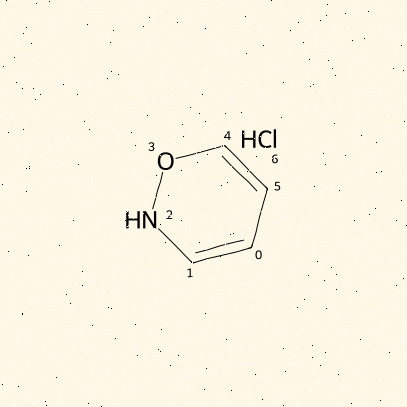 C1=CNOC=C1.Cl